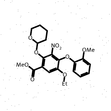 CCOc1cc(C(=O)OC)c(OC2CCCCO2)c([N+](=O)[O-])c1Oc1ccccc1OC